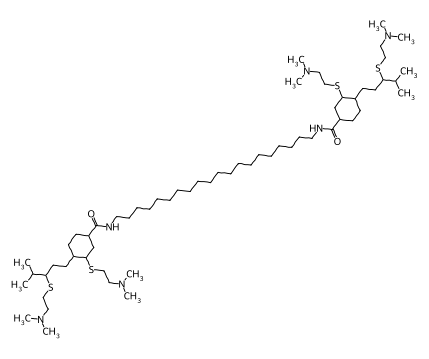 CC(C)C(CCC1CCC(C(=O)NCCCCCCCCCCCCCCCCCCCCNC(=O)C2CCC(CCC(SCCN(C)C)C(C)C)C(SCCN(C)C)C2)CC1SCCN(C)C)SCCN(C)C